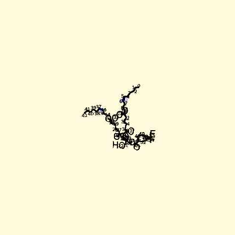 CCCCC/C=C\CCOC(=O)CCCCC(=O)OCC(CO)(COC(=O)CCCCC(=O)OCC/C=C\CCCCC)COC(=O)C1CCC2C(C1)C2(F)F